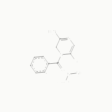 NC1=NC=C(Br)N(C(=O)c2ccccc2)C1.NNC=O